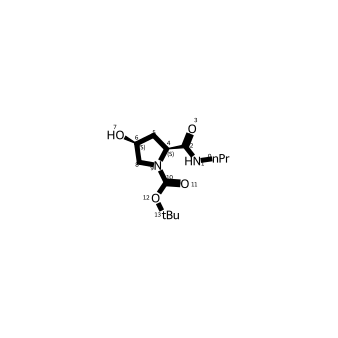 CCCNC(=O)[C@@H]1C[C@H](O)CN1C(=O)OC(C)(C)C